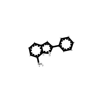 Nc1cccc2cc(-c3ccccc3)oc12